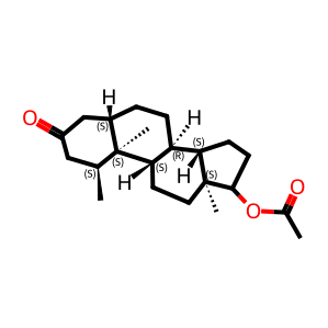 CC(=O)OC1CC[C@H]2[C@@H]3CC[C@H]4CC(=O)C[C@H](C)[C@]4(C)[C@H]3CC[C@]12C